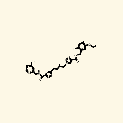 O=C(NCc1cc(OCF)ccc1F)c1cn(CC(F)CCc2nnc(C(=O)NCc3cc(C(F)(F)F)ccn3)s2)nn1